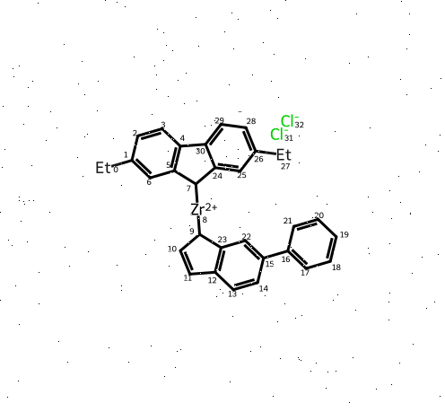 CCc1ccc2c(c1)[CH]([Zr+2][CH]1C=Cc3ccc(-c4ccccc4)cc31)c1cc(CC)ccc1-2.[Cl-].[Cl-]